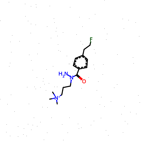 C[N+](C)(C)CCCN(N)C(=O)c1ccc(CCF)cc1